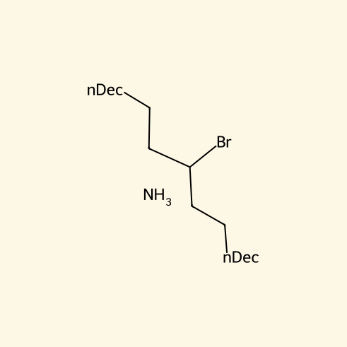 CCCCCCCCCCCCC(Br)CCCCCCCCCCCC.N